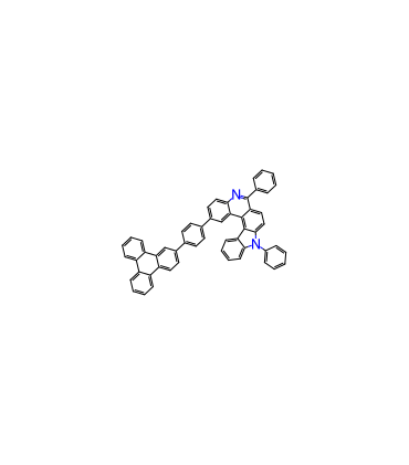 c1ccc(-c2nc3ccc(-c4ccc(-c5ccc6c7ccccc7c7ccccc7c6c5)cc4)cc3c3c2ccc2c3c3ccccc3n2-c2ccccc2)cc1